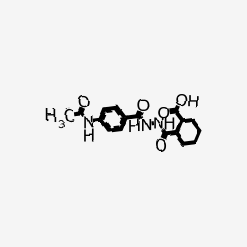 CC(=O)Nc1ccc(C(=O)NNC(=O)C2CCCCC2C(=O)O)cc1